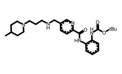 CC1CCN(CCCNCc2ccc(C(=O)Nc3ccccc3NC(=O)OC(C)(C)C)nc2)CC1